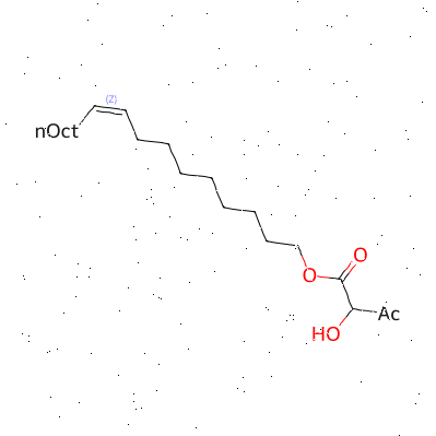 CCCCCCCC/C=C\CCCCCCCCOC(=O)C(O)C(C)=O